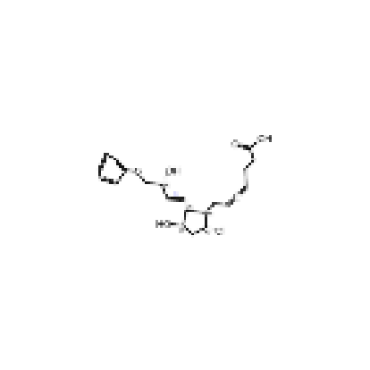 O=C(O)CCC=C=CC[C@@H]1[C@@H](/C=C/[C@@H](O)COc2ccccc2)[C@H](O)C[C@H]1Cl